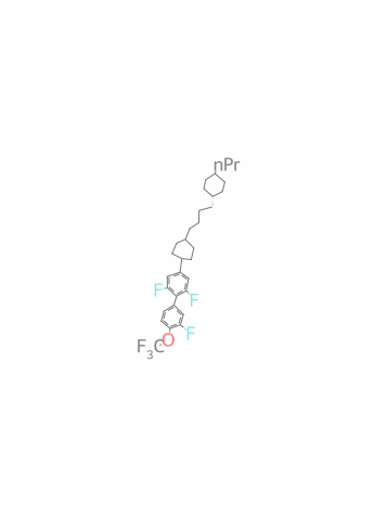 CCC[C@H]1CC[C@H](CCCCC2CCC(c3cc(F)c(-c4ccc(OC(F)(F)F)c(F)c4)c(F)c3)CC2)CC1